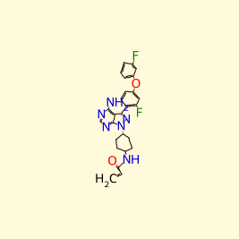 C=CC(=O)N[C@H]1CC[C@H](n2nc(-c3ccc(Oc4cccc(F)c4)cc3F)c3c(N)ncnc32)CC1